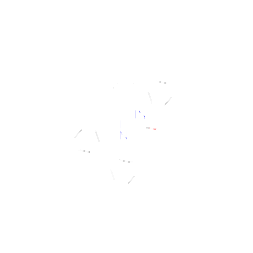 O=C(O)c1cc(I)ccc1NC(=O)[C@H](Cc1ccccc1)NCc1ccccc1